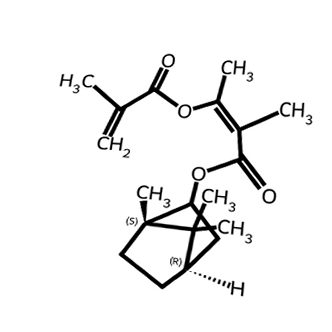 C=C(C)C(=O)OC(C)=C(C)C(=O)OC1C[C@H]2CC[C@@]1(C)C2(C)C